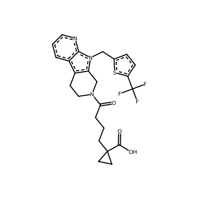 O=C(CCCC1(C(=O)O)CC1)N1CCc2c(n(Cc3ccc(C(F)(F)F)s3)c3ncccc23)C1